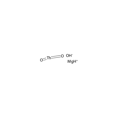 [MgH+].[OH-].[O]=[Th]=[O]